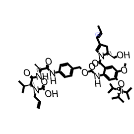 C=CCN(C(=O)O)[C@H](C(=O)N[C@@H](C)C(=O)Nc1ccc(COC(=O)Nc2cc(O[Si](C(C)C)(C(C)C)C(C)C)c(OC)cc2C(=O)N2C=C(/C=C/C)C[C@H]2CO)cc1)C(C)C